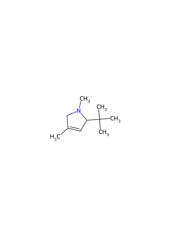 CC1=CC(C(C)(C)C)N(C)C1